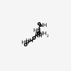 Nc1nc(NCc2ccc(CNCCCNC3CCCCC3)cc2)ncc1CNCCc1c[nH]c2ccccc12